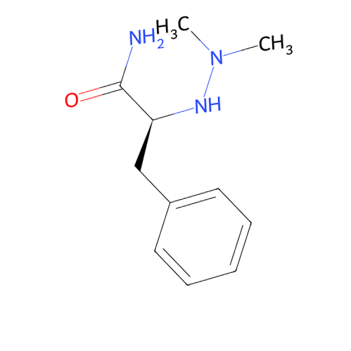 CN(C)N[C@@H](Cc1ccccc1)C(N)=O